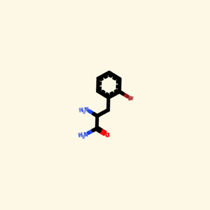 NC(=O)C(N)Cc1ccccc1Br